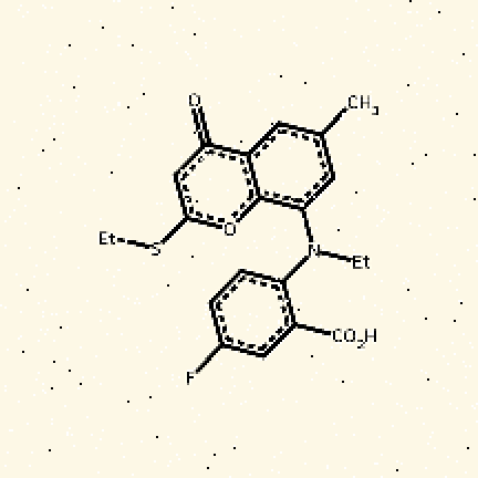 CCSc1cc(=O)c2cc(C)cc(N(CC)c3ccc(F)cc3C(=O)O)c2o1